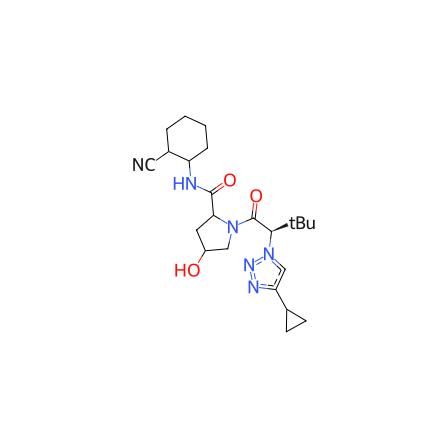 CC(C)(C)[C@H](C(=O)N1CC(O)CC1C(=O)NC1CCCCC1C#N)n1cc(C2CC2)nn1